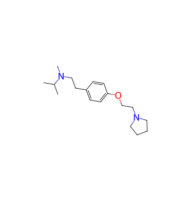 CC(C)N(C)CCc1ccc(OCCN2CCCC2)cc1